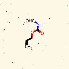 C=CCOC(=O)NC=O